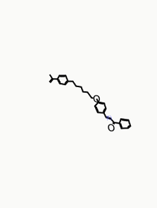 C=C(C)c1ccc(CCCCCCOc2ccc(/C=C/C(=O)c3ccccc3)cc2)cc1